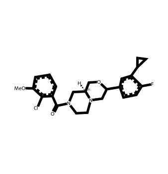 COc1cccc(C(=O)N2CCN3CC(c4ccc(F)c(C5CC5)c4)OC[C@@H]3C2)c1Cl